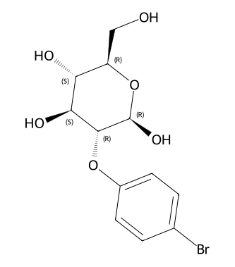 OC[C@H]1O[C@@H](O)[C@H](Oc2ccc(Br)cc2)[C@@H](O)[C@@H]1O